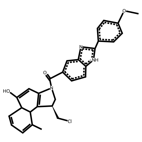 COc1ccc(-c2nc3cc(C(=O)N4C[C@@H](CCl)C5=C4C=C(O)C4C=CC=C(C)C54)ccc3[nH]2)cc1